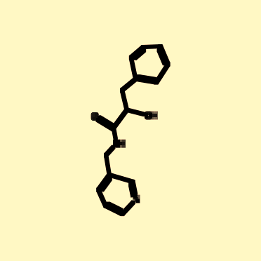 O=C(NCc1cccnc1)C(O)Cc1ccccc1